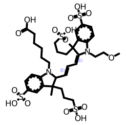 COCCN1/C(=C/C=C/C2N(CCCCCC(=O)O)c3ccc(S(=O)(=O)O)cc3C2(C)CCCS(=O)(=O)O)C(C)(CCCS(=O)(=O)O)c2cc(S(=O)(=O)O)ccc21